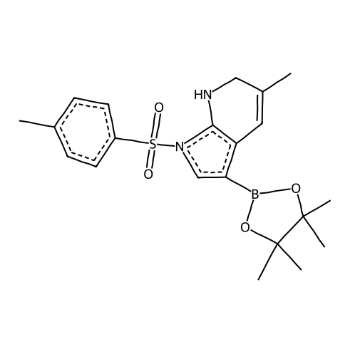 CC1=Cc2c(B3OC(C)(C)C(C)(C)O3)cn(S(=O)(=O)c3ccc(C)cc3)c2NC1